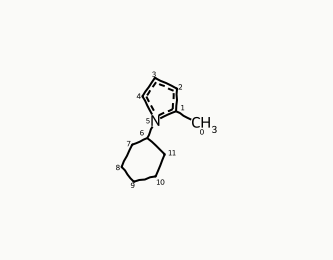 Cc1cccn1C1CCCCC1